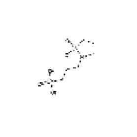 O=P(O)(S)CCCN1CCCS1(=O)=O